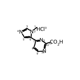 Cl.Cn1cncc1-c1ccnc(C(=O)O)n1